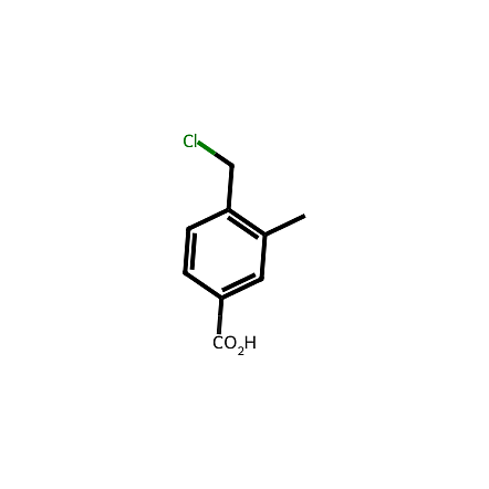 Cc1cc(C(=O)O)ccc1CCl